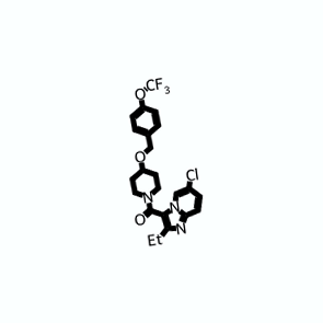 CCc1nc2ccc(Cl)cn2c1C(=O)N1CCC(OCc2ccc(OC(F)(F)F)cc2)CC1